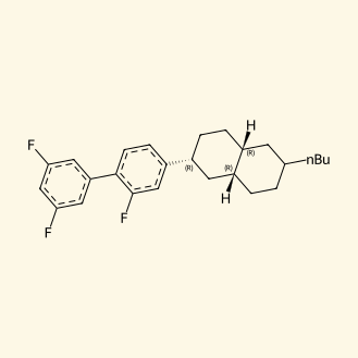 CCCCC1CC[C@@H]2C[C@H](c3ccc(-c4cc(F)cc(F)c4)c(F)c3)CC[C@@H]2C1